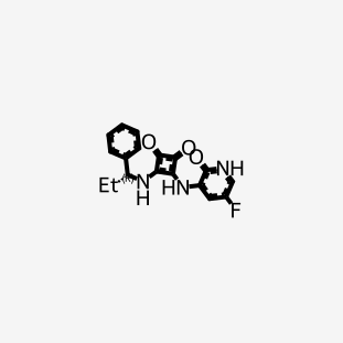 CC[C@@H](Nc1c(Nc2cc(F)c[nH]c2=O)c(=O)c1=O)c1ccccc1